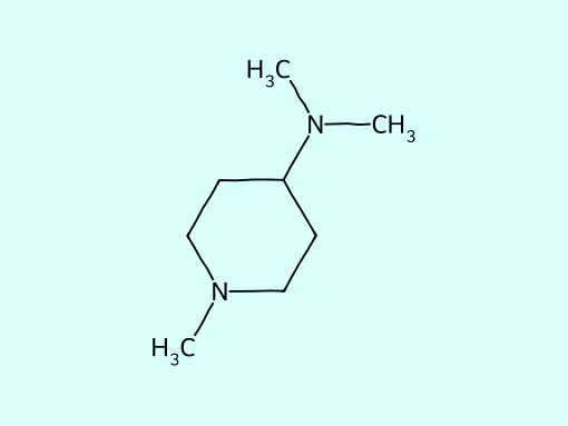 CN1CCC(N(C)C)CC1